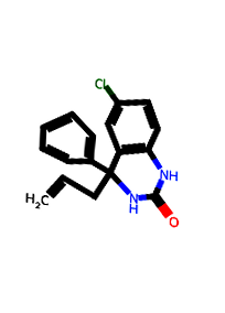 C=CCC1(c2ccccc2)NC(=O)Nc2ccc(Cl)cc21